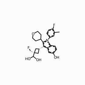 Cc1cc(-n2c(C3CCOCC3)c([C@H]3C[C@](CF)(C(O)O)C3)c3cc(O)ccc32)ccc1F